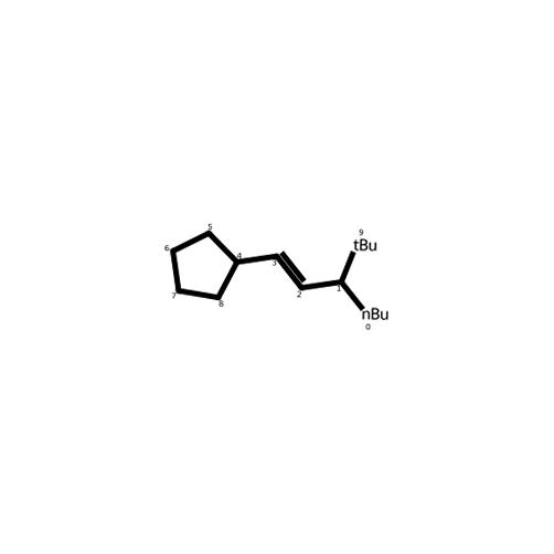 CCCCC(C=CC1CCCC1)C(C)(C)C